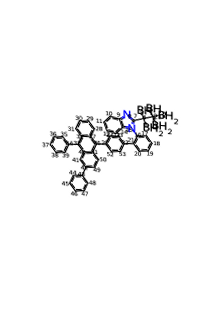 BC(B)(B)C(B)(B)c1nc2ccccc2n1-c1ccccc1-c1ccc(-c2c3ccccc3c(-c3ccccc3)c3cc(-c4ccccc4)ccc23)cc1